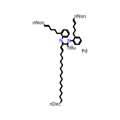 CCCCCCCCCC=CCCCc1ccccc1N=C(C=CCCCCCCCCCCCCCCCCCCCCCCCC)C(CCCC)=Nc1ccccc1CCCC=CCCCCCCCCC.[Pd]